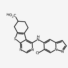 O=C(O)C1CCc2c(sc3ncnc(Nc4cc5ccnn5cc4Cl)c23)C1